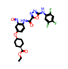 CCOC(=O)[C@H]1CC[C@@H](Oc2ccc(NC(=O)c3nnc(Nc4cc(F)c(F)cc4F)o3)c(N=O)c2)CC1